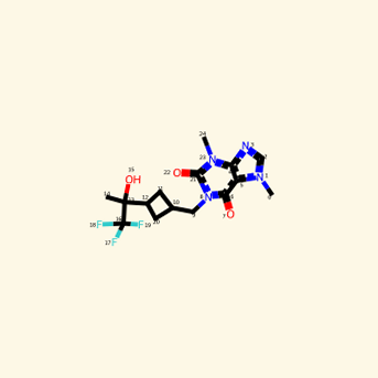 Cn1cnc2c1c(=O)n(CC1CC(C(C)(O)C(F)(F)F)C1)c(=O)n2C